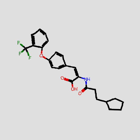 O=C(CCC1CCCC1)N/C(=C/c1ccc(Oc2ccccc2C(F)(F)F)cc1)C(=O)O